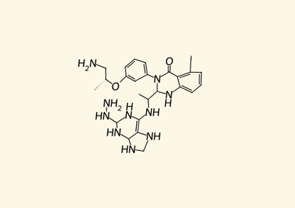 Cc1cccc2c1C(=O)N(c1cccc(O[C@H](C)CN)c1)C(C(C)NC1=C3NCNC3NC(NN)N1)N2